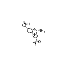 CN(C)C(=O)c1cc2c(N)nc3cc(-c4ccn[nH]4)ccc3n2c1